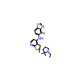 CCN1CC[C@@H](C2(C)Cc3c(Nc4ccc5scnc5c4F)ccnc3S2)C1(C)C